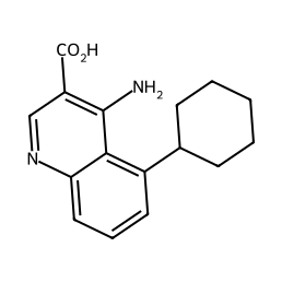 Nc1c(C(=O)O)cnc2cccc(C3CCCCC3)c12